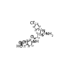 Nc1nc(-c2ccc(Cl)cc2)c(CCC(=O)Nc2ccc(CP(=O)(O)O)cc2)s1